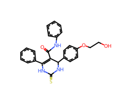 O=C(Nc1ccccc1)C1=C(c2ccccc2)NC(=S)NC1c1ccc(OCCO)cc1